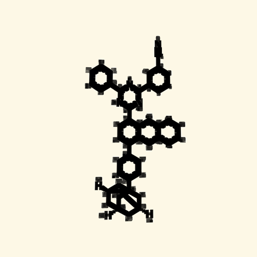 N#Cc1cccc(-c2nc(-c3ccccc3)nc(-c3ccc(-c4ccc(C56C[C@H]7C[C@H](C5)C[C@@H](C6)C7)cc4)c4cc5ccccc5cc34)n2)c1